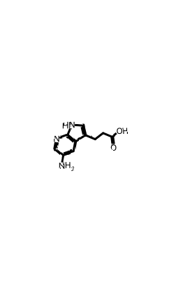 Nc1cnc2[nH]cc(CCC(=O)O)c2c1